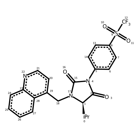 CC(C)[C@@H]1C(=O)N(c2ccc(S(=O)(=O)C(F)(F)F)cc2)C(=O)N1Cc1ccnc2ccccc12